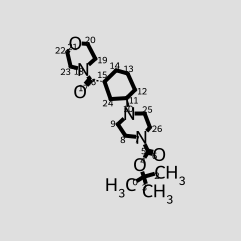 CC(C)(C)OC(=O)N1CCN([C@@H]2CCC[C@@H](C(=O)N3CCOCC3)C2)CC1